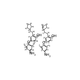 Cc1cc(N)cc(C)c1Oc1ccc(O)c(CCC2CCCC2)c1.Cc1cc(N)cc(C)c1Oc1ccc(O)c(CCC2CCCC2)c1